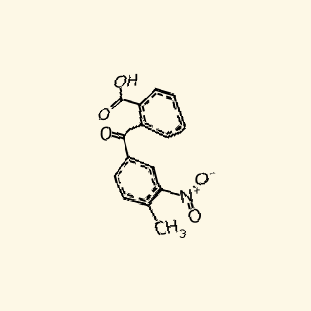 Cc1ccc(C(=O)c2ccccc2C(=O)O)cc1[N+](=O)[O-]